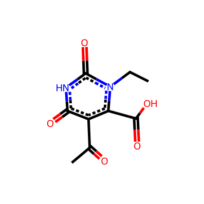 CCn1c(C(=O)O)c(C(C)=O)c(=O)[nH]c1=O